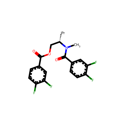 CC(C)[C@@H](COC(=O)c1ccc(F)c(F)c1)N(C)C(=O)c1ccc(F)c(F)c1